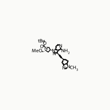 COC[C@H]1C[C@H](n2nc(C#Cc3ccc4c(c3)ncn4C)c3c(N)nccc32)CN1C(=O)OC(C)(C)C